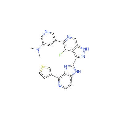 CN(C)c1cncc(-c2ncc3[nH]nc(-c4nc5c(-c6ccsc6)nccc5[nH]4)c3c2F)c1